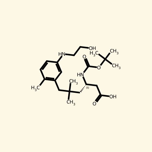 Cc1ccc(NCCO)cc1CC(C)(C)C[C@@H](CC(=O)O)NC(=O)OC(C)(C)C